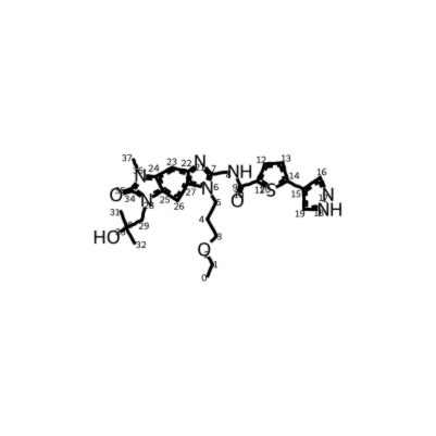 CCOCCCn1c(NC(=O)c2ccc(-c3cn[nH]c3)s2)nc2cc3c(cc21)n(CC(C)(C)O)c(=O)n3C